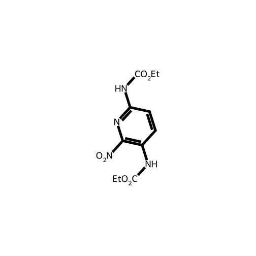 CCOC(=O)Nc1ccc(NC(=O)OCC)c([N+](=O)[O-])n1